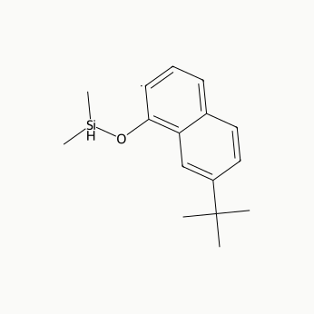 C[SiH](C)Oc1[c]ccc2ccc(C(C)(C)C)cc12